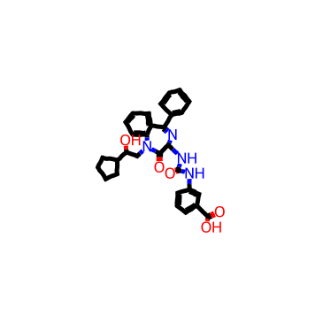 O=C(Nc1cccc(C(=O)O)c1)NC1N=C(c2ccccc2)c2ccccc2N(CC(O)C2CCCC2)C1=O